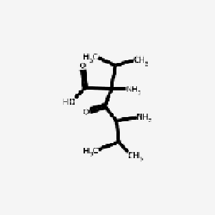 CC(C)C(N)C(=O)C(N)(C(=O)O)C(C)C